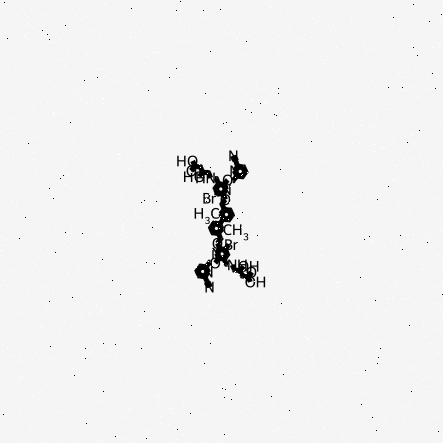 Cc1c(COc2nc(OCc3cccc(C#N)n3)c(CNCC(O)CC(=O)O)cc2Br)cccc1-c1cccc(COc2nc(OCc3cccc(C#N)n3)c(CNCC(O)CC(=O)O)cc2Br)c1C